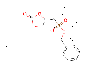 O=C1OCC(CS(=O)(=O)OCc2ccccc2)O1